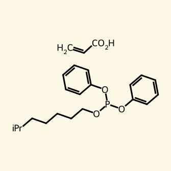 C=CC(=O)O.CC(C)CCCCCOP(Oc1ccccc1)Oc1ccccc1